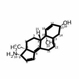 C[C@]12CC[C@H]3C(=C1C=C[C@@H]2N)CCC1C[C@@H](O)C=C[C@@]13C